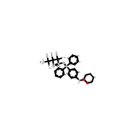 O=S(=O)(OS(c1ccccc1)(c1ccccc1)c1ccc(SC2CC3CCC2CC3)cc1)C(F)(F)C(F)(F)C(F)(F)C(F)(F)F